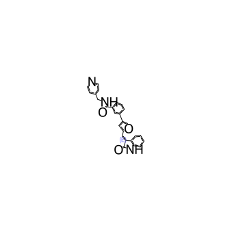 O=C1Nc2ccccc2/C1=C\c1cc(-c2cccc(C(=O)NCc3ccncc3)c2)co1